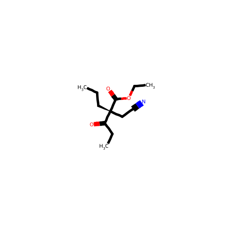 CCC[C@@](CC#N)(C(=O)CC)C(=O)OCC